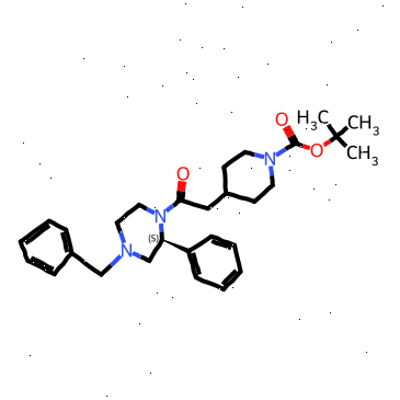 CC(C)(C)OC(=O)N1CCC(CC(=O)N2CCN(Cc3ccccc3)C[C@@H]2c2ccccc2)CC1